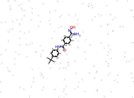 CC(C)(C)c1ccc(NC(=O)c2ccc(C(N)=NO)cc2)cc1